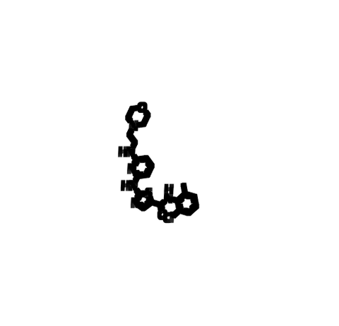 Cc1cccc(Cl)c1NC(=O)c1cnc(Nc2cccc(NCCN3CCOCC3)n2)s1